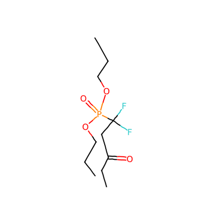 CCCOP(=O)(OCCC)C(F)(F)CC(=O)CC